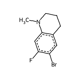 CN1CCCc2cc(Br)c(F)cc21